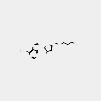 NCCCSC[C@@H]1O[C@@H](n2cnc3c(N)ncnc32)C(O)[C@H]1O